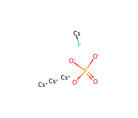 O=P([O-])([O-])[O-].[Cs+].[Cs+].[Cs+].[F][Cs]